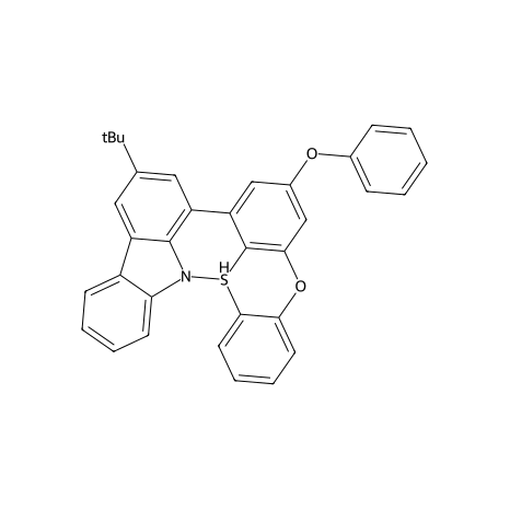 CC(C)(C)c1cc2c3c(c1)c1ccccc1n3[SH]1c3ccccc3Oc3cc(Oc4ccccc4)cc-2c31